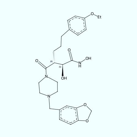 CCOc1ccc(CCC[C@@H](C(=O)N2CCN(Cc3ccc4c(c3)OCO4)CC2)[C@H](O)C(=O)NO)cc1